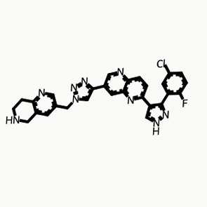 Fc1ccc(Cl)cc1-c1n[nH]cc1-c1ccc2ncc(-c3cn(Cc4cnc5c(c4)CNCC5)nn3)cc2n1